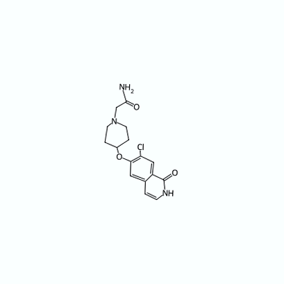 NC(=O)CN1CCC(Oc2cc3cc[nH]c(=O)c3cc2Cl)CC1